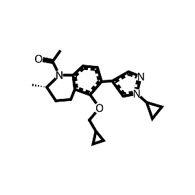 CC(=O)N1c2ccc(-c3cnn(C4CC4)c3)c(OCC3CC3)c2CC[C@@H]1C